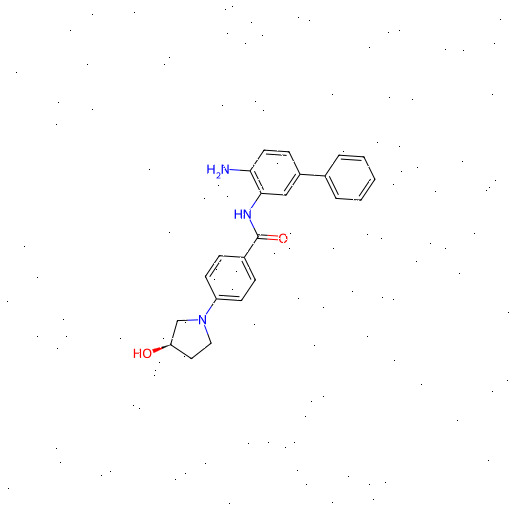 Nc1ccc(-c2ccccc2)cc1NC(=O)c1ccc(N2CC[C@@H](O)C2)cc1